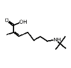 CC(=CCCCCNC(C)(C)C)C(=O)O